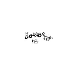 CCN(CC)CCCNC(=O)c1ccc2c(c1)sc1nc(-c3ccc(C4CCCN4)cc3)cn12.Cl.Cl